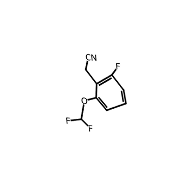 N#CCc1c(F)cccc1OC(F)F